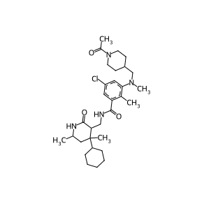 CC(=O)N1CCC(CN(C)c2cc(Cl)cc(C(=O)NCC3C(=O)NC(C)CC3(C)C3CCCCC3)c2C)CC1